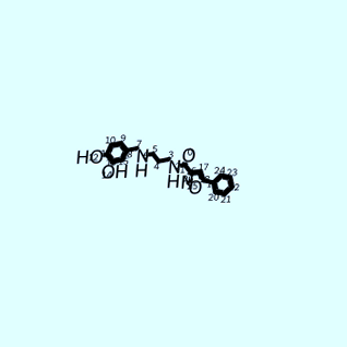 O=C(NCCCNCc1ccc(O)c(O)c1)c1cc(-c2ccccc2)on1